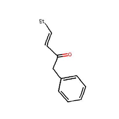 CC/C=C/C(=O)Cc1ccccc1